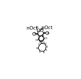 C1CCCCCCC1.CCCCCCCCOC(=O)c1ccccc1C(=O)OCCCCCCCC